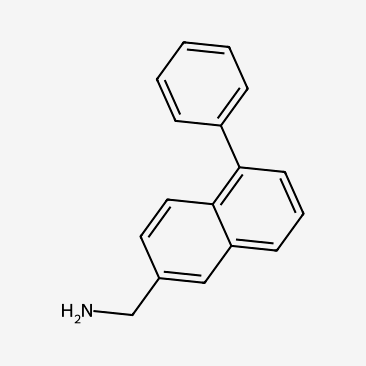 NCc1ccc2c(-c3ccccc3)cccc2c1